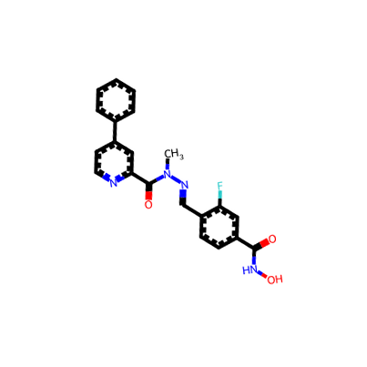 CN(N=Cc1ccc(C(=O)NO)cc1F)C(=O)c1cc(-c2ccccc2)ccn1